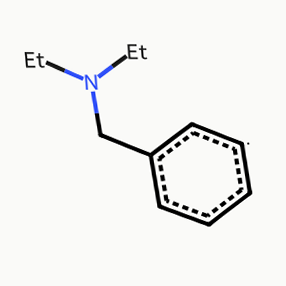 CCN(CC)Cc1c[c]ccc1